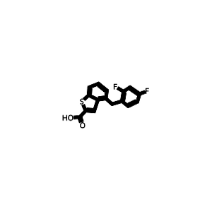 O=C(O)c1cc2c(Cc3ccc(F)cc3F)cccc2s1